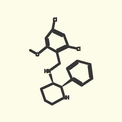 COc1cc(Cl)cc(Cl)c1CN[C@H]1CCCN[C@H]1c1ccccc1